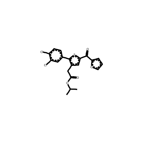 CC(C)OC(=O)Cc1cc(C(=O)c2ccco2)sc1-c1ccc(Cl)c(Cl)c1